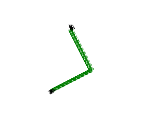 [Cl-].[Cl-].[Cl-].[Cl-].[Cl-].[Cl-].[Cl-].[Cl-].[Cl-].[Cl-].[Cl-].[Cl-].[Cl-].[Cl-].[Cl-].[Cl-].[Cl-].[Cl-].[Cl-].[Cl-].[Cl-].[Cl-].[Cl-].[Cl-].[Cl-].[Cl-].[Cl-].[Cl-].[Cl-].[Cl-].[Cl-].[Cl-].[Cl-].[Cl-].[Cl-].[Cl-].[Cl-].[Cl-].[Cl-].[Cl-].[Cl-].[Cl-].[Cl-].[Cl-].[Cl-].[Cl-].[Cl-].[Cl-].[Cl-].[Cl-].[Cl-].[Cl-].[Cl-].[Cl-].[Cl-].[Cl-].[Cl-].[Cl-].[Cl-].[Cl-].[Cl-].[Cl-].[Cl-].[Cl-].[Cl-].[Cl-].[Cl-].[Cl-].[Cl-].[Cl-].[Cl-].[Cl-].[Cl-].[Cl-].[Cl-].[Cl-].[Cl-].[Cl-].[Cl-].[Cl-].[Cl-].[Cl-].[Cl-].[Cl-].[Cl-].[Cl-].[Cl-].[Cl-].[Cl-].[Cl-].[Cl-].[Cl-].[Cl-].[Cl-].[Cl-].[Cl-].[Cl-].[Cl-].[Cl-].[Cl-].[Tl+].[Tl+].[Tl+].[Tl+].[Tl+].[Tl+].[Tl+].[Tl+].[Tl+].[Tl+]